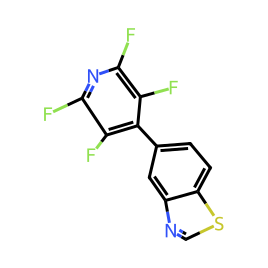 Fc1nc(F)c(F)c(-c2ccc3scnc3c2)c1F